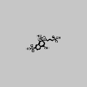 O=S(=O)(O)CCCOC1(S(=O)(=O)O)C=c2cc(S(=O)(=O)O)ccc2=C(O)C1